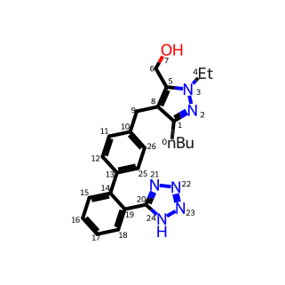 CCCCc1nn(CC)c(CO)c1Cc1ccc(-c2ccccc2-c2nnn[nH]2)cc1